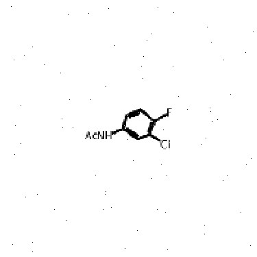 [CH2]C(=O)Nc1ccc(F)c(Cl)c1